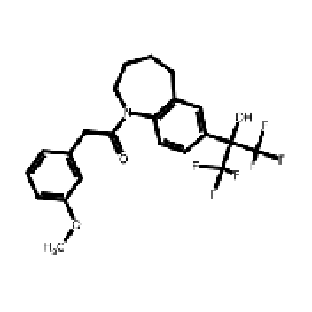 COc1cccc(CC(=O)N2CCCCc3cc(C(O)(C(F)(F)F)C(F)(F)F)ccc32)c1